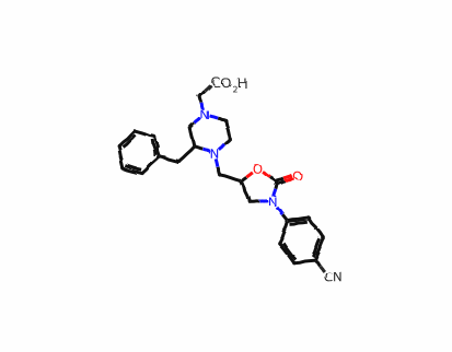 N#Cc1ccc(N2CC(CN3CCN(CC(=O)O)CC3Cc3ccccc3)OC2=O)cc1